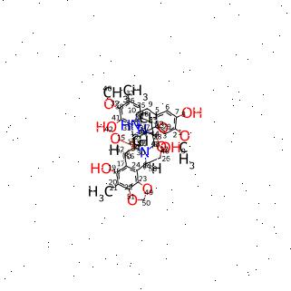 COc1cc2c(cc1O)CCN[C@]21C[S+]([O-])[C@@H]2c3c(O)c(C)c4c(c3[C@H](COC1=O)N1[C@@H]2C2c3c(cc(C)c(OC)c3O)CC([C@@H]1O)N2C)OCO4